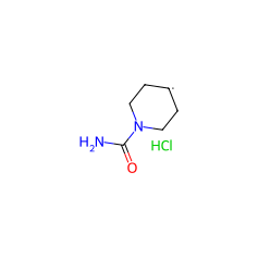 Cl.NC(=O)N1CC[CH]CC1